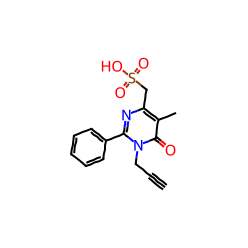 C#CCn1c(-c2ccccc2)nc(CS(=O)(=O)O)c(C)c1=O